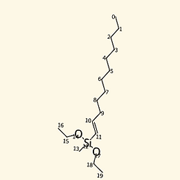 CCCCCCCCCCC=C[Si](C)(OCC)OCC